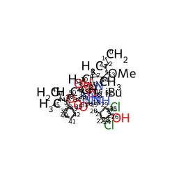 C=C/C=C(\C)[C@@H](C[C@@H]1C[C@@]1(C)C(=O)N(C)[C@H](C(=O)N[C@H](Cc1cc(Cl)c(O)c(Cl)c1)C(=O)N[C@H](C(=O)O[C@H](c1ccccc1)[C@H](C)C=C)C(C)(C)O)[C@@H](C)CC)OC